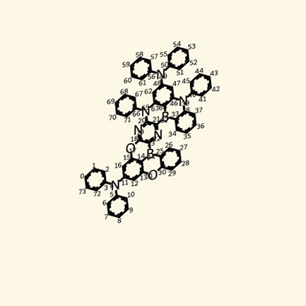 c1ccc(N(c2ccccc2)c2cc3c4c(c2)Oc2nc5c(nc2B4c2ccccc2O3)B2c3ccccc3N(c3ccccc3)c3cc(N(c4ccccc4)c4ccccc4)cc(c32)N5c2ccccc2)cc1